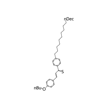 CCCCCCCCCCCCCCCCCCCCc1ccc(C(=S)C=Cc2ccc(OCCCC)cc2)cc1